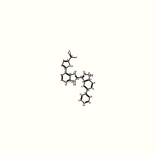 CC(=O)c1ccc(-c2ccnc3[nH]c(-c4n[nH]c5ccc(-c6ccncc6)cc45)nc23)s1